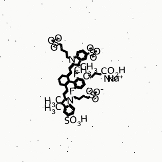 CC1(C)C(/C=C/C2=C(c3c(F)ccc(OCCCC(=O)O)c3F)C(=C/C=C3/N(CCCCS(=O)(=O)[O-])c4ccc(S(=O)(=O)[O-])cc4C3(C)C)/CCC2)=[N+](CCCCS(=O)(=O)[O-])c2ccc(S(=O)(=O)O)cc21.[Na+].[Na+]